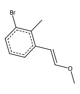 CO/C=C/c1cccc(Br)c1C